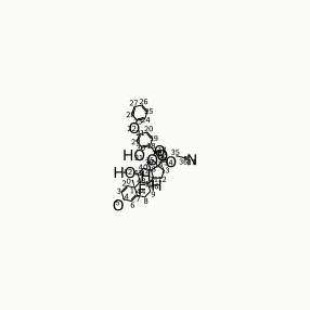 C[C@]12C=CC(=O)C=C1CC[C@H]1[C@@H]3CC[C@@](OC(=O)c4ccc(Oc5ccccc5)cc4O)(C(=O)OCC#N)[C@@]3(C)C[C@H](O)C12F